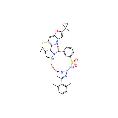 Cc1cccc(C)c1-c1cc2nc(n1)NS(=O)(=O)c1cccc(c1)C(=O)N(Cc1nc3cc(C4(C)CC4)oc3cc1F)[C@H](CC1(C)CC1)CO2